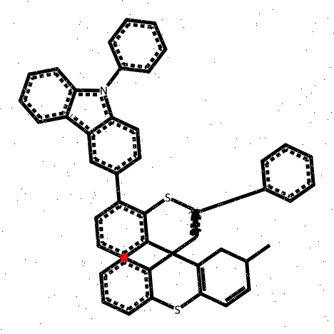 CC1C=CC2=C(C1)C1(c3ccccc3S2)c2ccc(-c3ccccc3)cc2Sc2c(-c3ccc4c(c3)c3ccccc3n4-c3ccccc3)cccc21